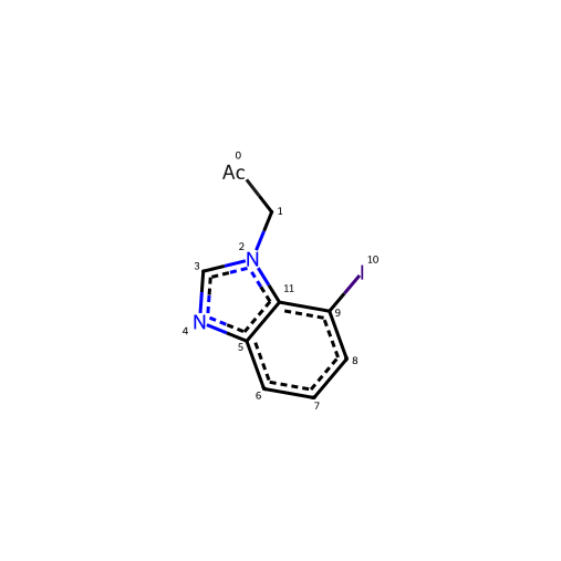 CC(=O)Cn1cnc2cccc(I)c21